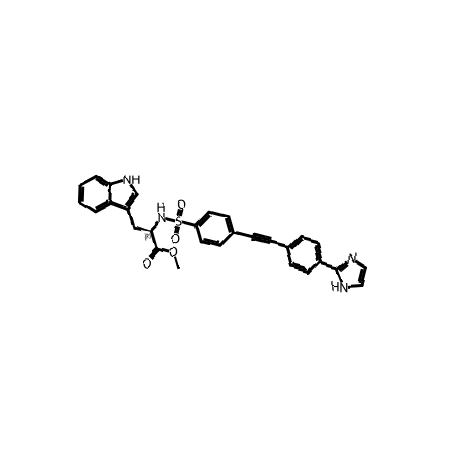 COC(=O)[C@@H](Cc1c[nH]c2ccccc12)NS(=O)(=O)c1ccc(C#Cc2ccc(-c3ncc[nH]3)cc2)cc1